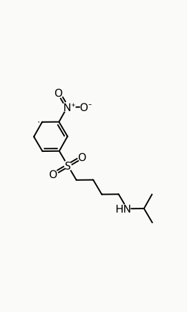 CC(C)NCCCCS(=O)(=O)C1=CC[CH]C([N+](=O)[O-])=C1